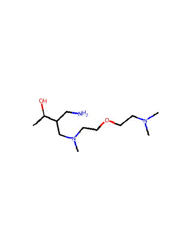 CC(O)C(CN)CN(C)CCOCCN(C)C